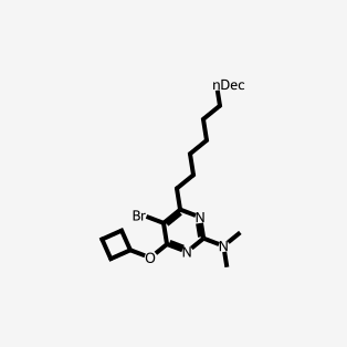 CCCCCCCCCCCCCCCCc1nc(N(C)C)nc(OC2CCC2)c1Br